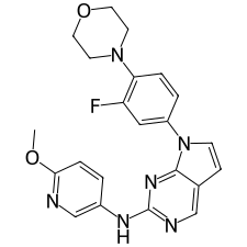 COc1ccc(Nc2ncc3ccn(-c4ccc(N5CCOCC5)c(F)c4)c3n2)cn1